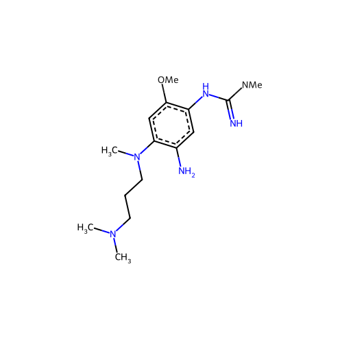 CNC(=N)Nc1cc(N)c(N(C)CCCN(C)C)cc1OC